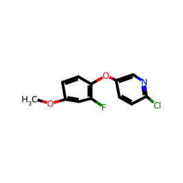 COc1ccc(Oc2ccc(Cl)nc2)c(F)c1